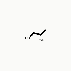 CCCO.[CsH]